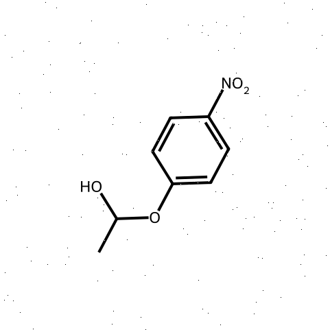 CC(O)Oc1ccc([N+](=O)[O-])cc1